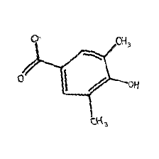 Cc1cc(C([O])=O)cc(C)c1O